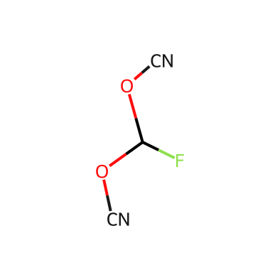 N#COC(F)OC#N